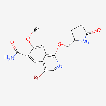 CC(C)Oc1cc2c(OCC3CCC(=O)N3)ncc(Br)c2cc1C(N)=O